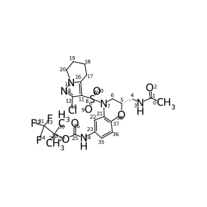 CC(=O)NC[C@H]1CN(S(=O)(=O)c2c(Cl)nn3c2CCCC3)c2cc(NC(=O)OC(C)(C)C(F)(F)F)ccc2O1